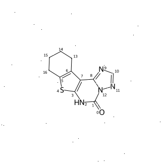 O=c1[nH]c2sc3c(c2c2ncnn12)CCCC3